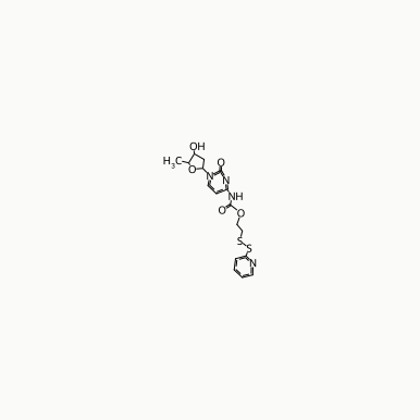 CC1OC(n2ccc(NC(=O)OCCSSc3ccccn3)nc2=O)CC1O